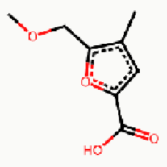 COCc1oc(C(=O)O)cc1C